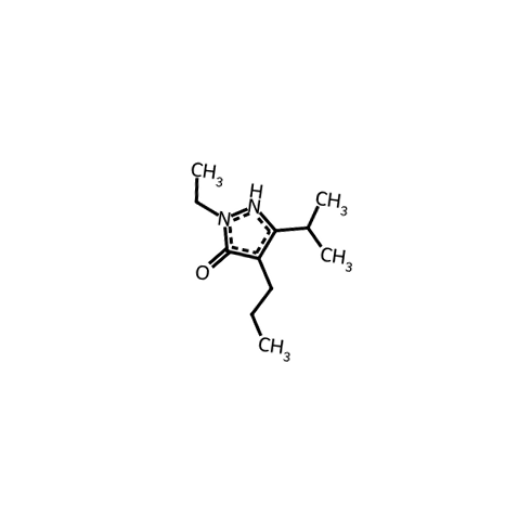 CCCc1c(C(C)C)[nH]n(CC)c1=O